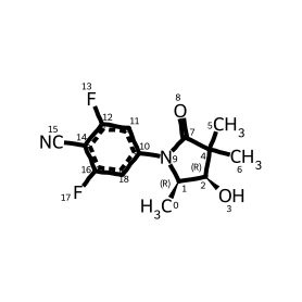 C[C@@H]1[C@H](O)C(C)(C)C(=O)N1c1cc(F)c(C#N)c(F)c1